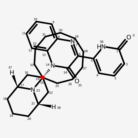 O=c1cccc(-c2nc3ccccc3n([C@H]3C[C@H]4CCC[C@@H](C3)N4C3CCCCCCCCC3)c2=O)[nH]1